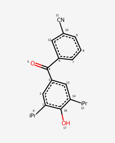 CC(C)c1cc(C(=O)c2cccc(C#N)c2)cc(C(C)C)c1O